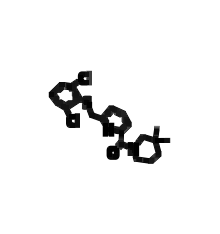 CC1(C)CCCN(C(=O)c2cccc(CSc3c(Cl)cccc3Cl)n2)C1